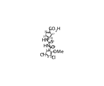 COc1c(Cl)cc(Cl)cc1C(=O)NC(=S)Nc1ccc(C(=O)O)cc1